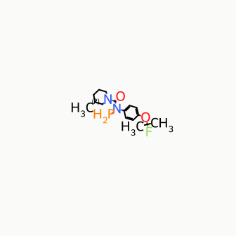 C[C@@H]1CCCN(C(=O)N(P)c2ccc(OC(C)(C)F)cc2)C1